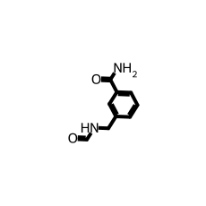 NC(=O)c1cccc(CNC=O)c1